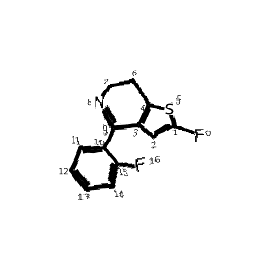 Fc1cc2c(s1)CCN=C2c1ccccc1F